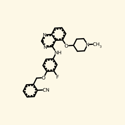 CN1CCC(Oc2cccc3ncnc(Nc4ccc(OCc5ccccc5C#N)c(F)c4)c23)CC1